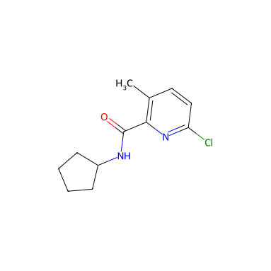 Cc1ccc(Cl)nc1C(=O)NC1CCCC1